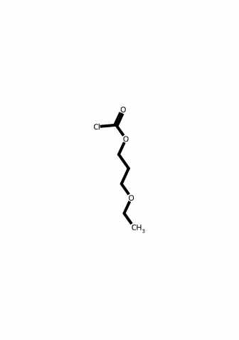 CCOCCCOC(=O)Cl